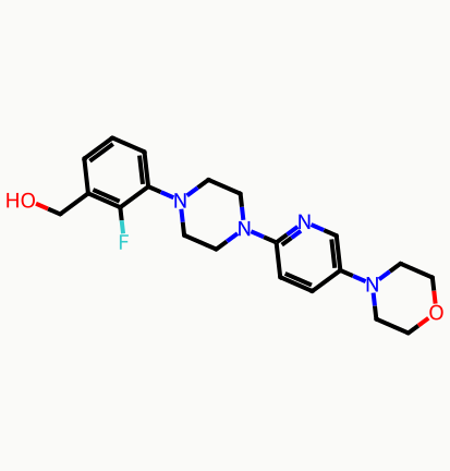 OCc1cccc(N2CCN(c3ccc(N4CCOCC4)cn3)CC2)c1F